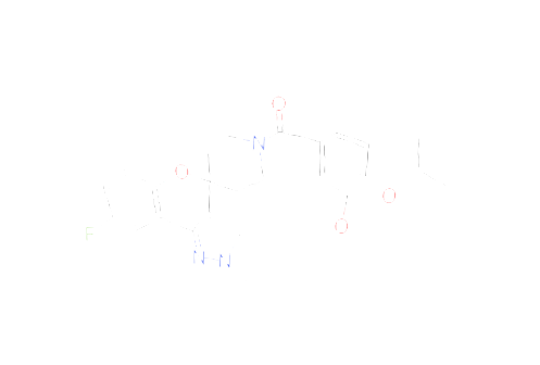 COc1cc(C(=O)N2CCC3(CC2)Oc2ccc(F)cc2-c2nn(C)cc23)ccc1OC(C)C